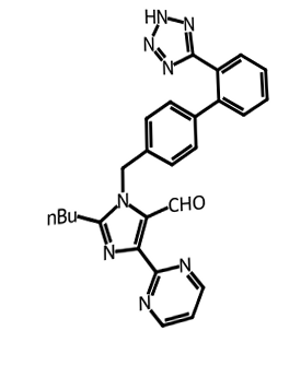 CCCCc1nc(-c2ncccn2)c(C=O)n1Cc1ccc(-c2ccccc2-c2nn[nH]n2)cc1